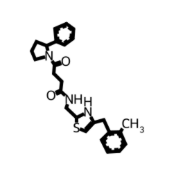 Cc1ccccc1CC1=CSC(CNC(=O)CCC(=O)N2CCCC2c2ccccc2)N1